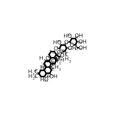 C[C@H]1O[C@@H](O[C@H]2CC[C@]3(C)C4=CC=C5[C@@H]6CC(C)(C)CC[C@]6(CO)[C@@H](O)C[C@@]5(C)[C@]4(C)CC[C@H]3[C@]2(C)CO)[C@H](O)[C@@H](O[C@@H]2O[C@H](CO)[C@@H](O)[C@H](O)[C@H]2O)[C@H]1O